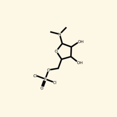 CN(C)C1OC(COP(=O)(Cl)Cl)C(O)C1O